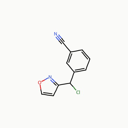 N#Cc1cccc(C(Cl)c2ccon2)c1